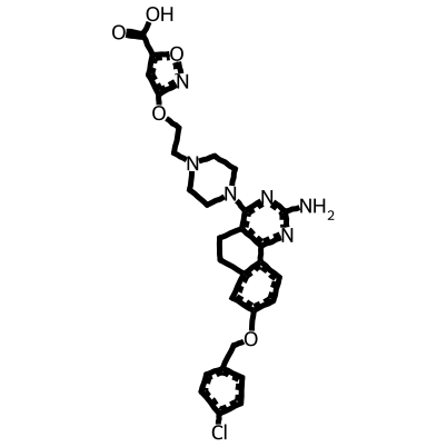 Nc1nc2c(c(N3CCN(CCOc4cc(C(=O)O)on4)CC3)n1)CCc1cc(OCc3ccc(Cl)cc3)ccc1-2